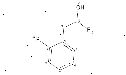 OC(F)Cc1ccccc1F